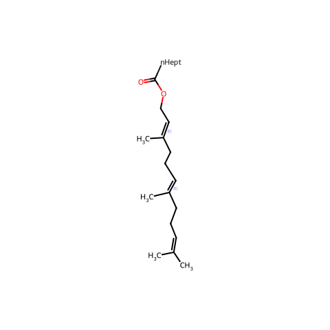 CCCCCCCC(=O)OC/C=C(\C)CC/C=C(\C)CCC=C(C)C